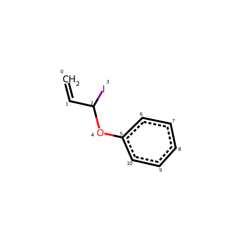 C=CC(I)Oc1ccccc1